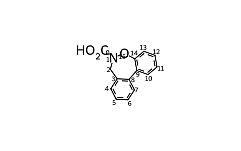 O=C(O)N1Cc2ccccc2-c2ccccc2O1